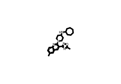 Cc1ccc2nc(N3CCC(NC4CCCCCC4)CC3)c(-c3noc(C)n3)cc2c1